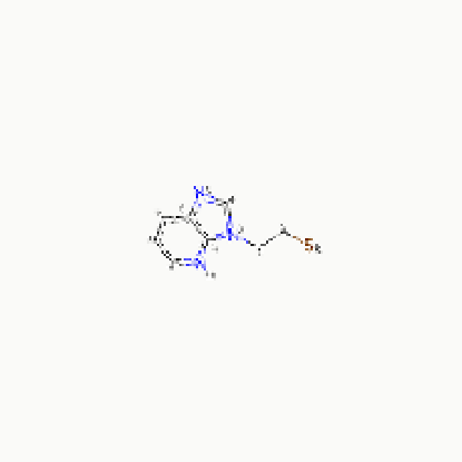 [S]CCn1cnc2cccnc21